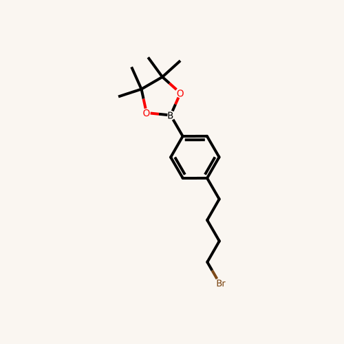 CC1(C)OB(c2ccc(CCCCBr)cc2)OC1(C)C